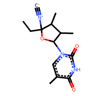 [C-]#[N+]C1(CC)OC(n2cc(C)c(=O)[nH]c2=O)C(C)C1C